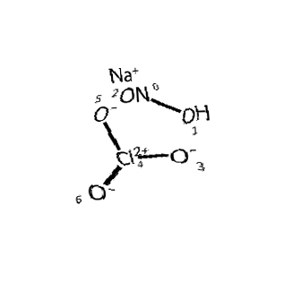 O=NO.[Na+].[O-][Cl+2]([O-])[O-]